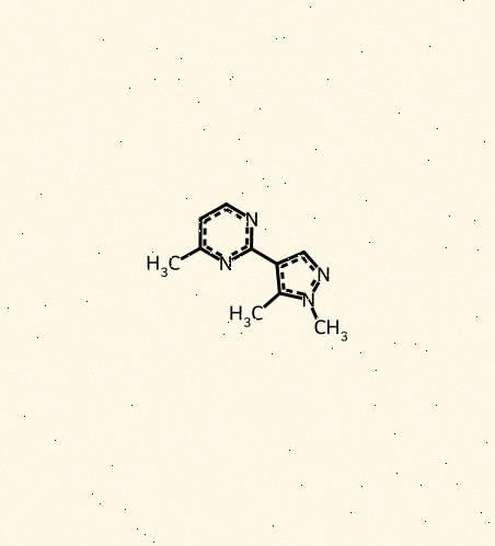 Cc1ccnc(-c2cnn(C)c2C)n1